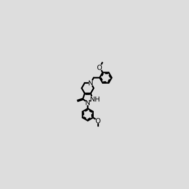 C=C1C2=C(CN(Cc3ccccc3OC)CC2)NN1c1cccc(OC)c1